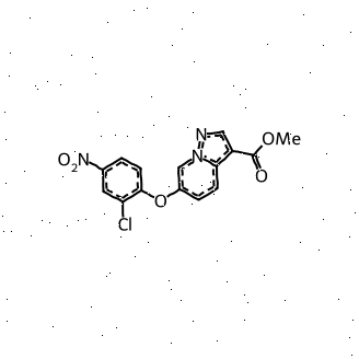 COC(=O)c1cnn2cc(Oc3ccc([N+](=O)[O-])cc3Cl)ccc12